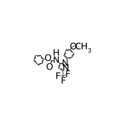 COc1ccc(-n2nc(C(F)(F)F)cc2NC(=O)Oc2ccccc2)cc1